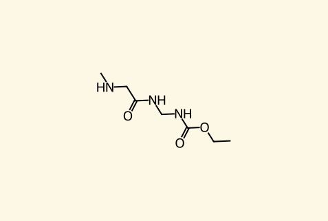 CCOC(=O)NCNC(=O)CNC